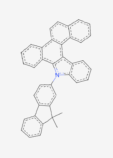 CC1(C)c2ccccc2-c2ccc(-n3c4ccccc4c4c5c6ccccc6ccc5c5ccccc5c43)cc21